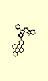 c1ccc(-n2c3ccc(C4CCC5C(C4)C4CCCC6C7CCCCC7C7CCCC5C7C64)cc3c3c4sc5ccccc5c4ccc32)cc1